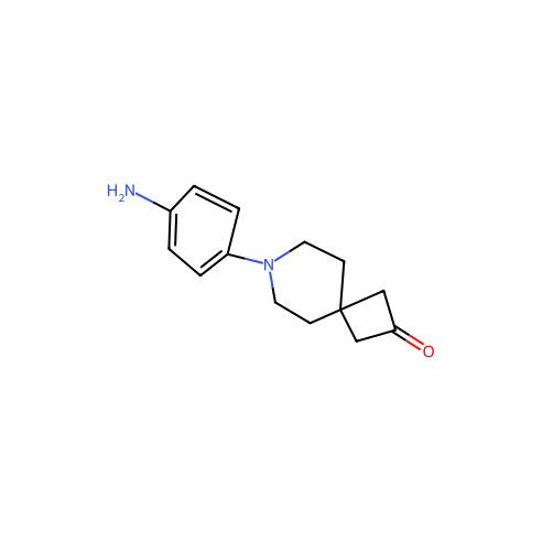 Nc1ccc(N2CCC3(CC2)CC(=O)C3)cc1